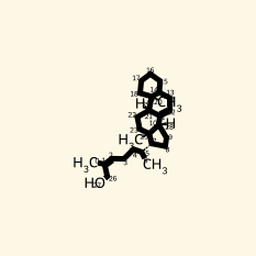 CC(=CCCC(C)[C@H]1CC[C@H]2C3=CCC4CCCC[C@]4(C)[C@H]3CC[C@]12C)CO